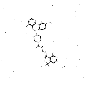 COc1ccc(N(Cc2cnccc2C)C2CCN(C(C)CCNC(=O)c3c(C(F)(F)F)ccnc3Cl)CC2)cc1